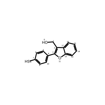 OCc1c(-c2ccc(S)cc2)oc2ccccc12